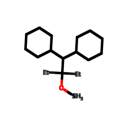 CCC(CC)(O[SiH3])C(C1CCCCC1)C1CCCCC1